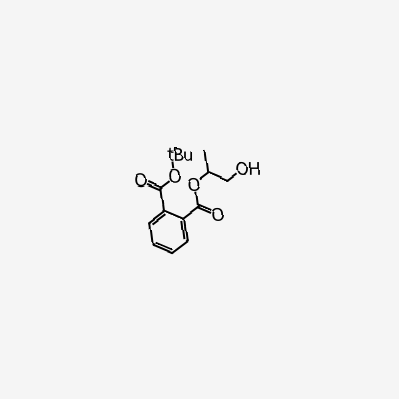 CC(CO)OC(=O)c1ccccc1C(=O)OC(C)(C)C